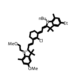 CCCCN1/C(=C/C=C2\CCCC(/C=C/C3=[N+](CCOC)c4c(C)cc(OC)cc4C3(C)C)=C2Cl)C(C)(C)c2cc(CC)cc(C)c21